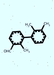 Cc1cccc(-c2cccc(C=O)c2C)c1C